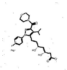 CC(C)c1c(C(=O)N2CCOCC2)nn(-c2ccc(F)cc2)c1CC[C@@H](O)C[C@@H](O)CC(=O)[O-].[Na+]